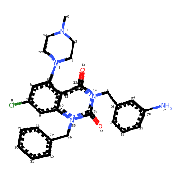 CN1CCN(c2cc(Cl)cc3c2c(=O)n(Cc2cccc(N)c2)c(=O)n3Cc2ccccc2)CC1